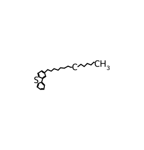 CCCCCCCCCCCCCCCCc1ccc2sc3ccccc3c2c1